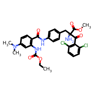 CCOC(=O)Nc1cc(N(C)C)ccc1C(=O)Nc1ccc(C[C@](N)(C(=O)OC)C(=O)c2c(Cl)cccc2Cl)cc1